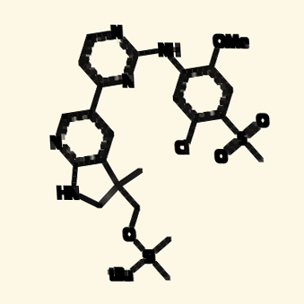 COc1cc(S(C)(=O)=O)c(Cl)cc1Nc1nccc(-c2cnc3c(c2)C(C)(CO[Si](C)(C)C(C)(C)C)CN3)n1